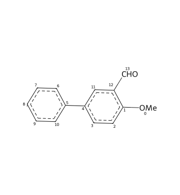 COc1ccc(-c2cc[c]cc2)cc1C=O